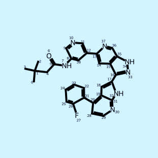 CC(C)(C)CC(=O)Nc1cncc(-c2cc3c(-c4cc5c(-c6ccccc6F)ccnc5[nH]4)n[nH]c3cn2)c1